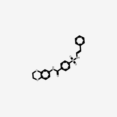 O=C(Nc1ccc2c(c1)OCCO2)c1ccc(S(=O)(=O)NC=Cc2ccccc2)cc1